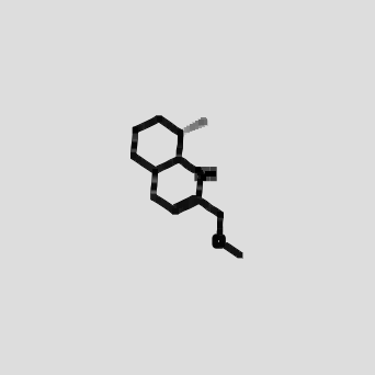 COCC1=CCC2CCC[C@H](C)C2N1